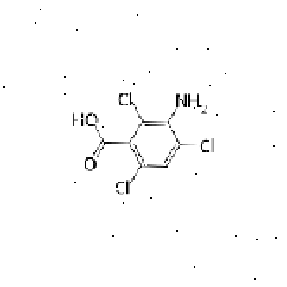 Nc1c(Cl)cc(Cl)c(C(=O)O)c1Cl